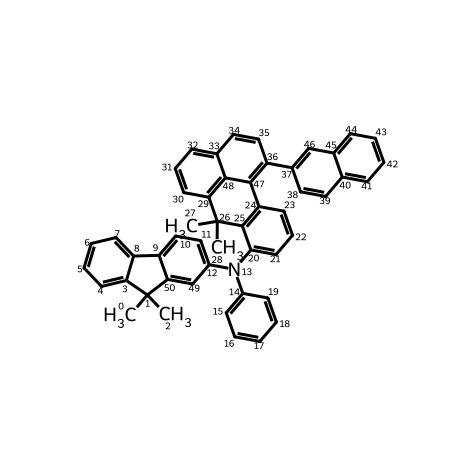 CC1(C)c2ccccc2-c2ccc(N(c3ccccc3)c3cccc4c3C(C)(C)c3cccc5ccc(-c6ccc7ccccc7c6)c-4c35)cc21